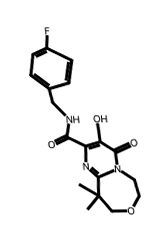 CC1(C)COCCn2c1nc(C(=O)NCc1ccc(F)cc1)c(O)c2=O